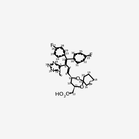 Cn1nnnc1C(C=C[C@@H]1C[C@H](CC(=O)O)OC2(CCCCC2)O1)=C(c1ccc(F)cc1)c1ccc(F)cc1